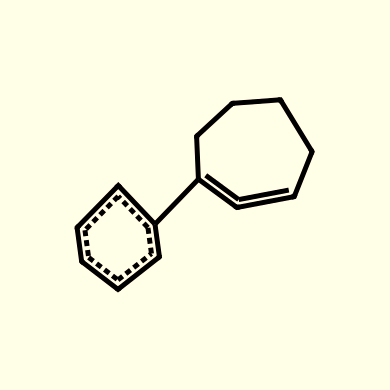 C1=CCCCCC=1c1ccccc1